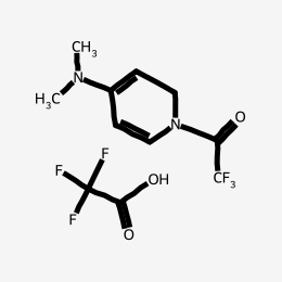 CN(C)C1=CCN(C(=O)C(F)(F)F)C=C1.O=C(O)C(F)(F)F